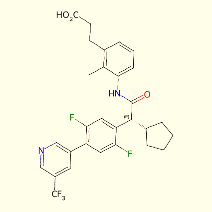 Cc1c(CCC(=O)O)cccc1NC(=O)[C@@H](c1cc(F)c(-c2cncc(C(F)(F)F)c2)cc1F)C1CCCC1